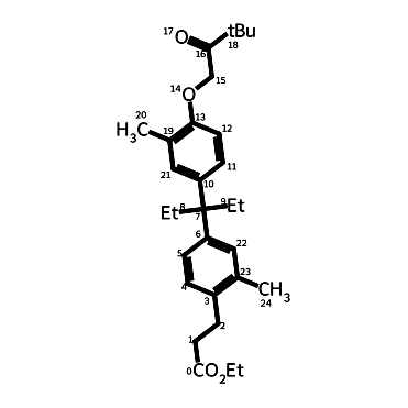 CCOC(=O)CCc1ccc(C(CC)(CC)c2ccc(OCC(=O)C(C)(C)C)c(C)c2)cc1C